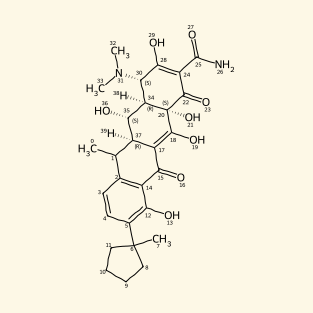 CC1c2ccc(C3(C)CCCC3)c(O)c2C(=O)C2=C(O)[C@]3(O)C(=O)C(C(N)=O)=C(O)[C@@H](N(C)C)[C@@H]3[C@@H](O)[C@@H]21